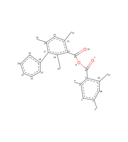 Cc1cc(C)c(C(=O)OC(=O)c2c(C)cc(C)c(-c3ccccc3)c2C)c(C)c1